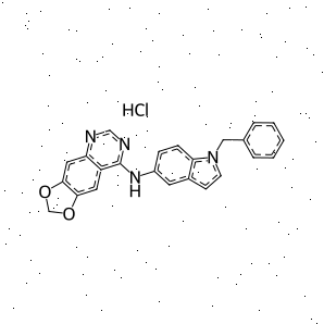 Cl.c1ccc(Cn2ccc3cc(Nc4ncnc5cc6c(cc45)OCO6)ccc32)cc1